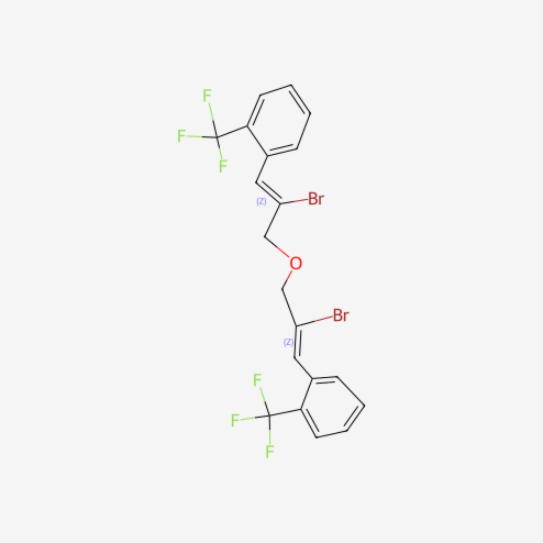 FC(F)(F)c1ccccc1/C=C(\Br)COC/C(Br)=C/c1ccccc1C(F)(F)F